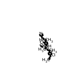 C=CCCC1C=CC(C(C)C/N=C(C)/C(=N\C=C/C)Nc2ccc(C(=C)NCCc3ccncc3)c(Cl)c2)=C(F)C1Cl